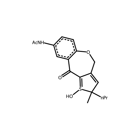 CCCC1(C)C=C2COc3ccc(NC(C)=O)cc3C(=O)C2=S1O